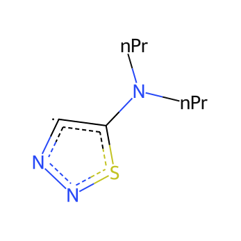 CCCN(CCC)c1[c]nns1